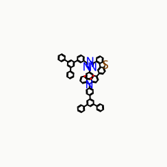 c1ccc(-c2cc(-c3ccccc3)cc(-c3ccc(-n4c5ccccc5c5cc(-c6ccc7sc8cccc(-c9nc(-c%10ccccc%10)nc(-c%10cccc(-c%11cc(-c%12ccccc%12)cc(-c%12ccccc%12)c%11)c%10)n9)c8c7c6)ccc54)cc3)c2)cc1